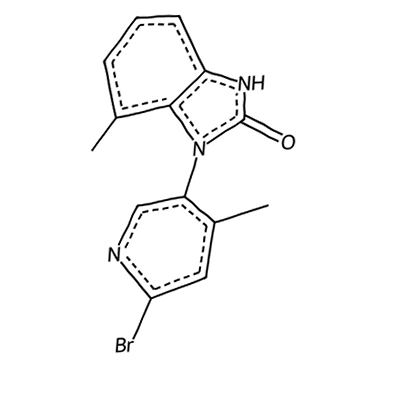 Cc1cc(Br)ncc1-n1c(=O)[nH]c2cccc(C)c21